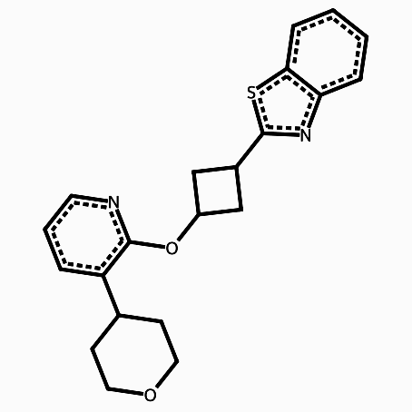 c1cnc(OC2CC(c3nc4ccccc4s3)C2)c(C2CCOCC2)c1